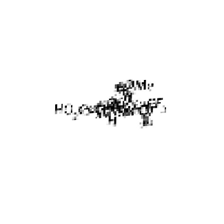 COCC1(CN(C)c2cc(-c3cc(C4CC4)nc(C(F)(F)F)c3)nc3nc(NC(=O)c4ccc(CCC(=O)O)cn4)[nH]c23)CCC1